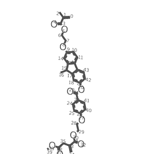 C=C(C)C(=O)OCCOc1ccc2c(c1)C(C)c1cc(OC(=O)c3ccc(OCCOC(=O)C(=C)CC(=O)OC)cc3)ccc1-2